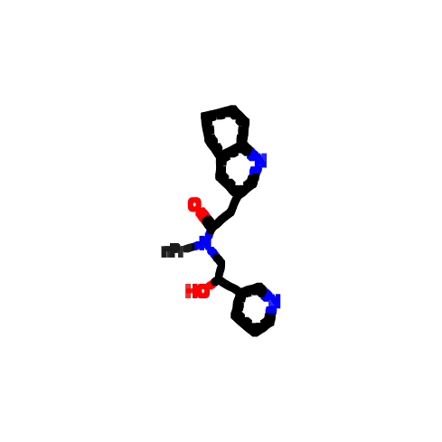 CCCN(CC(O)c1cccnc1)C(=O)Cc1cnc2ccccc2c1